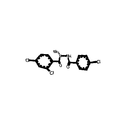 CC(C)(C)N(NC(=O)c1ccc(Cl)cc1)C(=O)c1ccc(Cl)cc1Cl